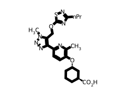 CCCc1nsc(OCc2c(-c3ccc(O[C@H]4CCC[C@H](C(=O)O)C4)c(C)n3)nnn2C)n1